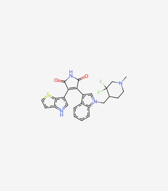 CN1CCC(Cn2cc(C3=C(c4c[nH]c5ccsc45)C(=O)NC3=O)c3ccccc32)C(F)(F)C1